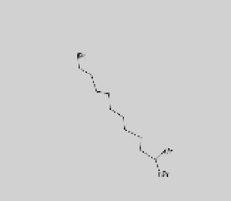 CCCC(CCCCCCCCCC(C)C)C(C)C